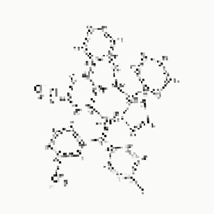 Cc1ccc([C](c2cccc(C(F)(F)F)c2)=[Zr+2]([c]2cccc3c2c2c(c4ccccc43)-c3ccccc3C2)[CH]2C=CC=C2)cc1.[Cl-].[Cl-]